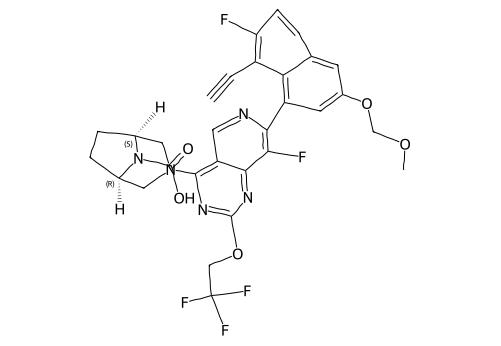 C#Cc1c(F)ccc2cc(OCOC)cc(-c3ncc4c(N5C[C@H]6CC[C@@H](C5)N6C(=O)O)nc(OCC(F)(F)F)nc4c3F)c12